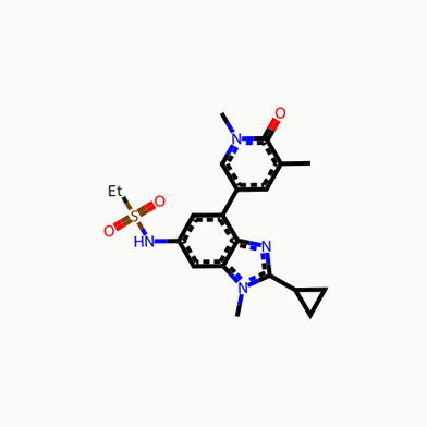 CCS(=O)(=O)Nc1cc(-c2cc(C)c(=O)n(C)c2)c2nc(C3CC3)n(C)c2c1